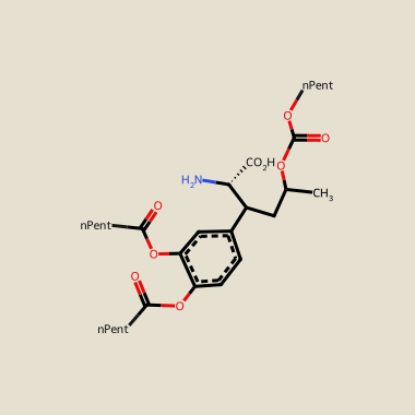 CCCCCOC(=O)OC(C)CC(c1ccc(OC(=O)CCCCC)c(OC(=O)CCCCC)c1)[C@H](N)C(=O)O